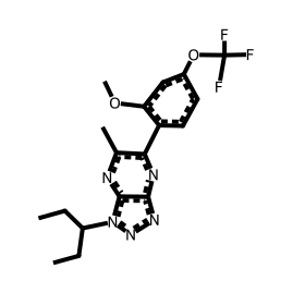 CCC(CC)n1nnc2nc(-c3ccc(OC(F)(F)F)cc3OC)c(C)nc21